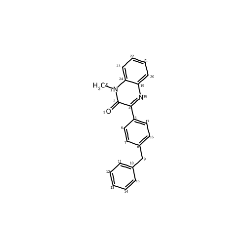 Cn1c(=O)c(-c2ccc(Cc3ccccc3)cc2)nc2ccccc21